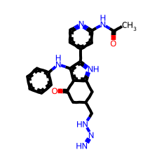 CC(=O)Nc1cc(-c2[nH]c3c(c2Nc2ccccc2)C(=O)CC(CNN=N)C3)ccn1